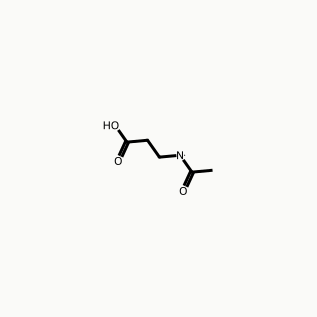 CC(=O)[N]CCC(=O)O